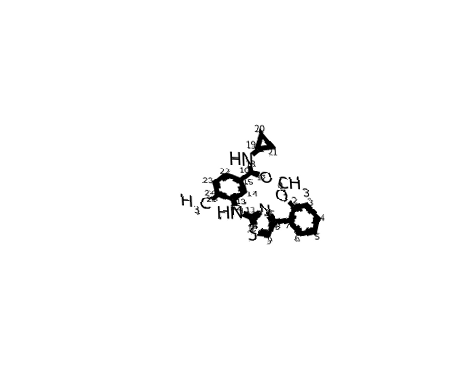 COc1ccccc1-c1csc(Nc2cc(C(=O)NC3CC3)ccc2C)n1